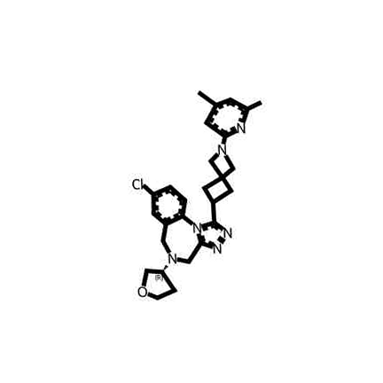 Cc1cc(C)nc(N2CC3(CC(c4nnc5n4-c4ccc(Cl)cc4CN([C@@H]4CCOC4)C5)C3)C2)c1